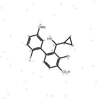 CCc1c(C(=O)O)ccc(-c2cc(OC)ccc2F)c1C(O)C1CC1